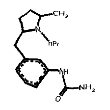 CCCN1C(C)CCC1Cc1cccc(NC(N)=O)c1